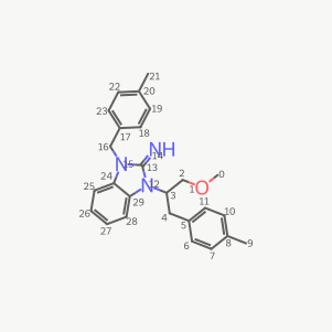 COCC(Cc1ccc(C)cc1)n1c(=N)n(Cc2ccc(C)cc2)c2ccccc21